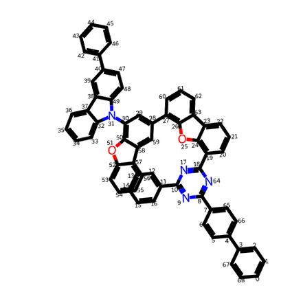 c1ccc(-c2ccc(-c3nc(-c4ccccc4)nc(-c4cccc5c4oc4c(-c6cc(-n7c8ccccc8c8cc(-c9ccccc9)ccc87)c7oc8ccccc8c7c6)cccc45)n3)cc2)cc1